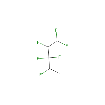 CC(F)C(F)(F)C(F)C(F)F